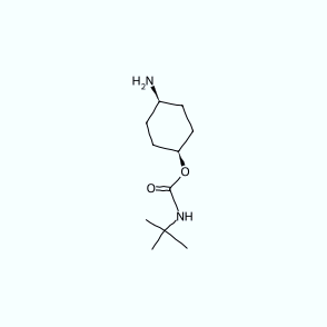 CC(C)(C)NC(=O)O[C@H]1CC[C@@H](N)CC1